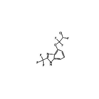 FC(Cl)C(F)(F)Oc1cccc2[nH]c(C(F)(F)F)nc12